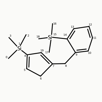 C[Si](C)(C)C1=CCC(Cc2ccccc2[Si](C)(C)C)=C1